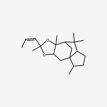 C/C=C\C1(C)OC2CC34CC(C(C)(C)C3CCC4C)C2(C)O1